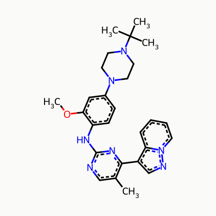 COc1cc(N2CCN(C(C)(C)C)CC2)ccc1Nc1ncc(C)c(-c2cnn3ccccc23)n1